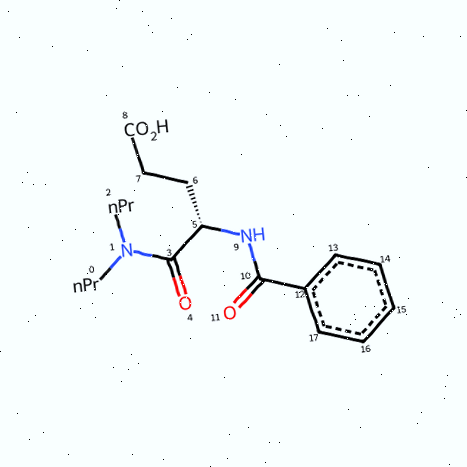 CCCN(CCC)C(=O)[C@H](CCC(=O)O)NC(=O)c1ccccc1